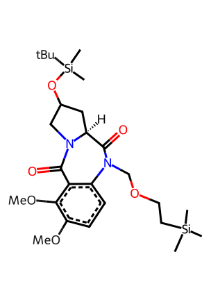 COc1ccc2c(c1OC)C(=O)N1CC(O[Si](C)(C)C(C)(C)C)C[C@H]1C(=O)N2COCC[Si](C)(C)C